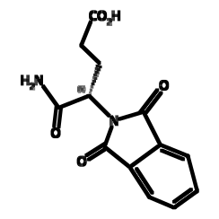 NC(=O)[C@H](CCC(=O)O)N1C(=O)c2ccccc2C1=O